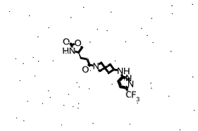 O=C1N[C@H](CCC(=O)N2CC3(CC(Nc4ccc(C(F)(F)F)nn4)C3)C2)CO1